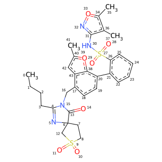 CCCCC1=NC2(CCS(=O)(=O)C2)C(=O)N1Cc1ccc(-c2ccccc2S(=O)(=O)Nc2noc(C)c2C)c2oc(C)cc12